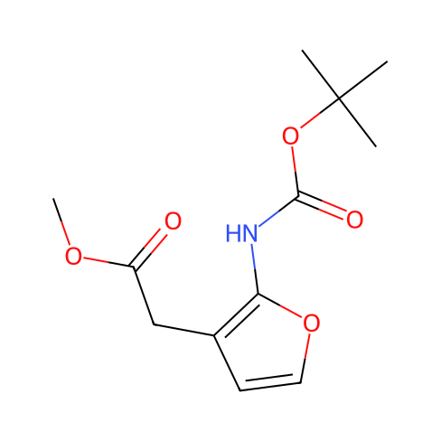 COC(=O)Cc1ccoc1NC(=O)OC(C)(C)C